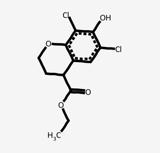 CCOC(=O)C1CCOc2c1cc(Cl)c(O)c2Cl